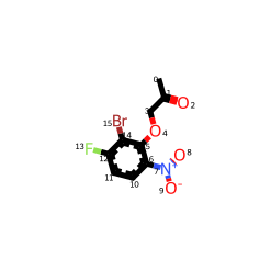 CC(=O)COc1c([N+](=O)[O-])ccc(F)c1Br